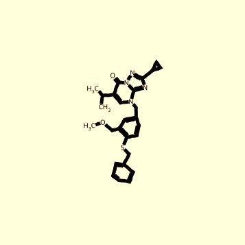 COCc1cc(Cn2cc(C(C)C)c(=O)n3nc(C4CC4)nc23)ccc1SCc1ccccc1